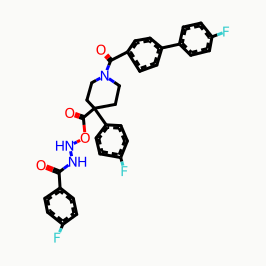 O=C(NNOC(=O)C1(c2ccc(F)cc2)CCN(C(=O)c2ccc(-c3ccc(F)cc3)cc2)CC1)c1ccc(F)cc1